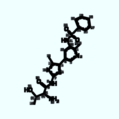 Cc1ncc(-c2sc(NC(=O)[C@@H](N)[C@@H](C)O)nc2C)cc1NS(=O)(=O)c1ccccc1